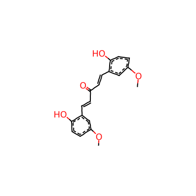 COc1ccc(O)c(C=CC(=O)C=Cc2cc(OC)ccc2O)c1